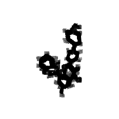 CC(=O)N1CCC(N2CCC(c3oc4c([C@@H](C)Nc5ccccc5C(=O)O)cc(C)cc4c(=O)c3C)CC2)CC1